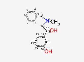 CN(Cc1ccccc1)C[C@H](O)c1cccc(O)c1